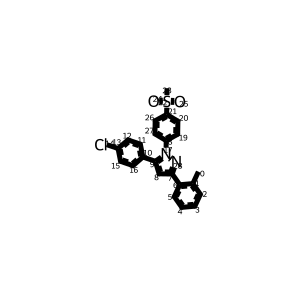 Cc1ccccc1-c1cc(-c2ccc(Cl)cc2)n(-c2ccc(S(C)(=O)=O)cc2)n1